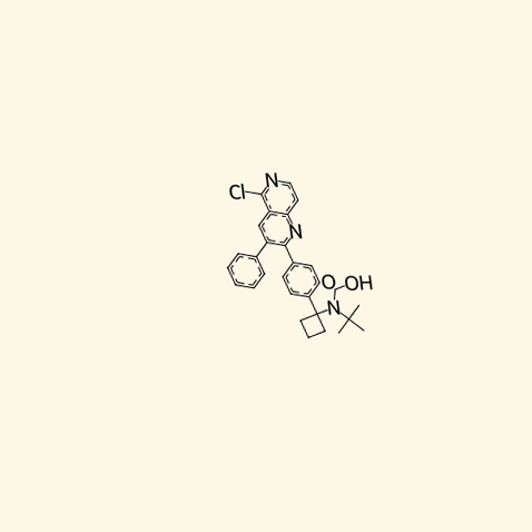 CC(C)(C)N(C(=O)O)C1(c2ccc(-c3nc4ccnc(Cl)c4cc3-c3ccccc3)cc2)CCC1